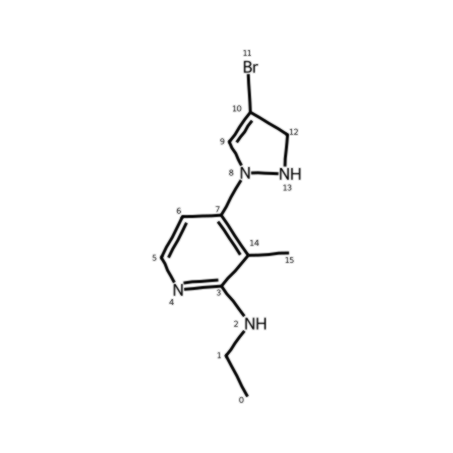 CCNc1nccc(N2C=C(Br)CN2)c1C